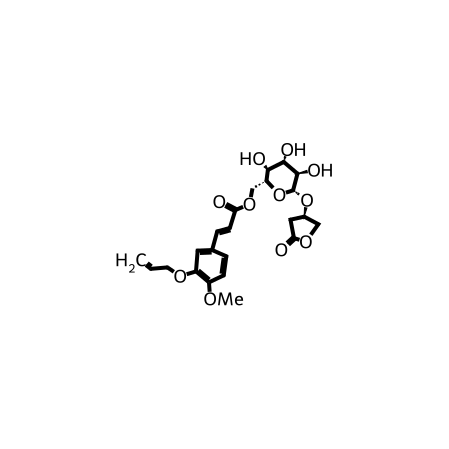 C=CCOc1cc(/C=C/C(=O)OC[C@H]2O[C@@H](O[C@H]3COC(=O)C3)[C@H](O)[C@@H](O)[C@@H]2O)ccc1OC